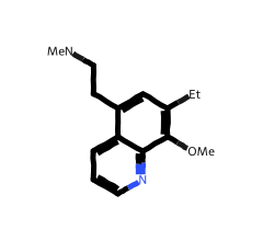 CCc1cc(CCNC)c2cccnc2c1OC